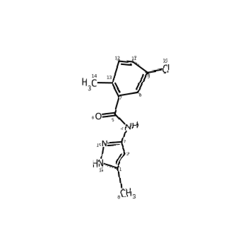 Cc1cc(NC(=O)c2cc(Cl)ccc2C)n[nH]1